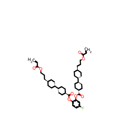 C=CC(=O)OCCC[C@H]1CC[C@H]([C@H]2CC[C@H](C(=O)Oc3ccc(F)cc3OC(=O)[C@H]3CC[C@H]([C@H]4CC[C@H](CCCOC(=O)C=C)CC4)CC3)CC2)CC1